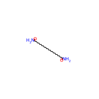 NC(=O)CCCCCCCCCCCCCCCCCCCCCCCCC(N)=O